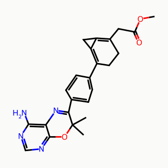 COC(=O)CC1=C2CC2=C(c2ccc(C3=Nc4c(N)ncnc4OC3(C)C)cc2)CC1